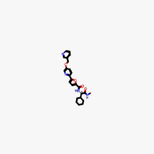 CNC(=O)[C@@H](NC(=O)c1ccc(-c2ccc(OCc3cccnc3)cn2)o1)C1CCCCC1